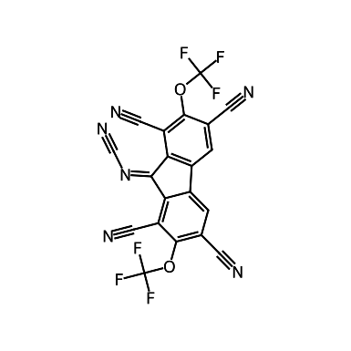 N#CN=C1c2c(cc(C#N)c(OC(F)(F)F)c2C#N)-c2cc(C#N)c(OC(F)(F)F)c(C#N)c21